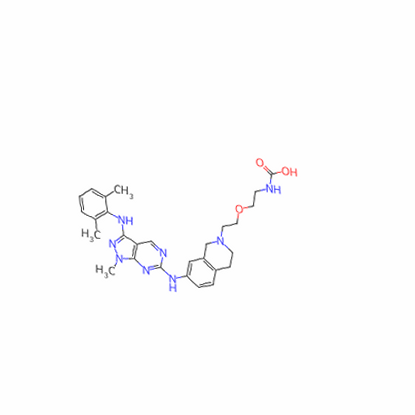 Cc1cccc(C)c1Nc1nn(C)c2nc(Nc3ccc4c(c3)CN(CCOCCNC(=O)O)CC4)ncc12